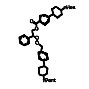 CCCCCCC1CCC(c2ccc(C(=O)OCC(OOCc3ccc(C4CCC(CCCCC)CC4)cc3)c3ccccc3)cc2)CC1